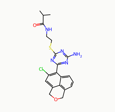 CC(C)C(=O)NCCSc1nc(N)nc(-c2c(Cl)cc3c4c(cccc24)COC3)n1